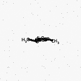 CCCCCCCC1COC(c2ccc(C(=O)Oc3ccc(OCCCCC)cc3)cc2F)OC1